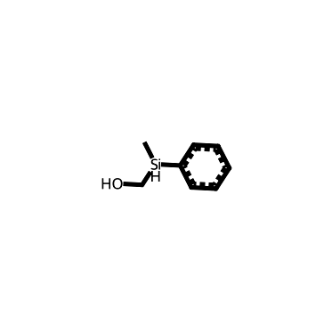 C[SiH](CO)c1ccccc1